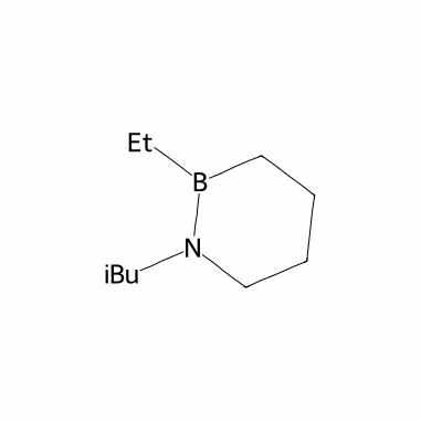 CCB1CCCCN1C(C)CC